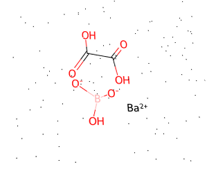 O=C(O)C(=O)O.[Ba+2].[O-]B([O-])O